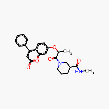 CNC(=O)C1CCCN(C(=O)C(C)Oc2ccc3c(-c4ccccc4)cc(=O)oc3c2)C1